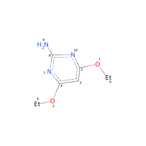 CCOc1cc(OCC)nc(N)n1